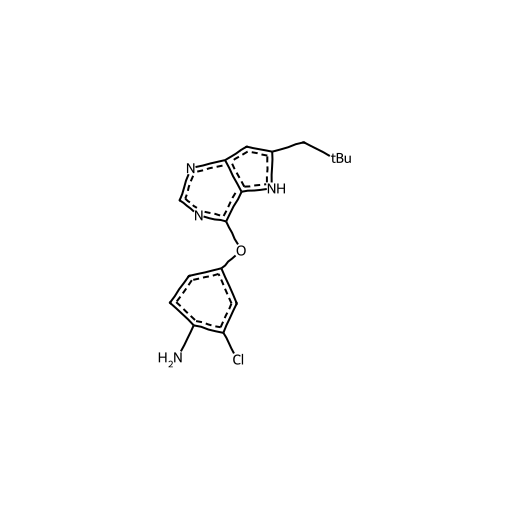 CC(C)(C)Cc1cc2ncnc(Oc3ccc(N)c(Cl)c3)c2[nH]1